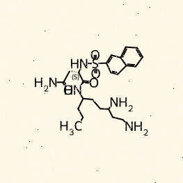 CCCC(CCC(N)CCN)NC(=O)[C@H](CC(N)=O)NS(=O)(=O)c1ccc2ccccc2c1